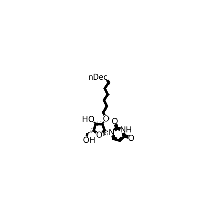 CCCCCCCCCCCCCCCCO[C@@H]1[C@@H](O)[C@@H](CO)O[C@H]1n1ccc(=O)[nH]c1=O